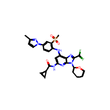 Cc1ccn(-c2ccc(Nc3cc(NC(=O)C4CC4)nc4c3nc(C(F)F)n4C3CCCCO3)c(S(C)(=O)=O)c2)n1